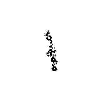 CCc1c(NC(=O)OCCC2CCN(C(=O)C(F)(F)F)CC2)cn2ncnc(Nc3ccc4c(cnn4Cc4ccccc4)c3)c12